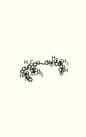 Cc1cc(OCCCC2CCN(CC(=O)Nc3ccc4c(C5CCC(=O)NC5=O)nn(C)c4c3F)CC2)ccc1-c1ccc(N2CCc3cccc(C(=O)Nc4nc5ccccc5s4)c3C2)nc1C(=O)OC(C)(C)C